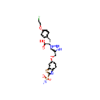 NS(=O)(=O)c1nc2ccc(OCC3=CN([C@@H](Cc4ccc(OCCF)cc4)C(=O)O)NN3)cc2s1